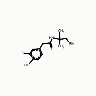 CC(C)(C)CC(C)(C)NC(=O)Cc1ccc(O)c(F)c1